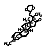 C[C@H]1CCC2(C)C(=CC[C@@H]3[C@@H]2CC[C@]2(C)[C@@H]([C@H](C)CC4OCCO4)C(=O)C[C@@H]32)C1